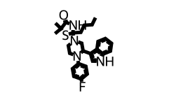 CCCCC1(N2CCN(c3ccc(F)cc3)C(c3c[nH]c4ccccc34)C2)NC(=O)C(C)(C)S1